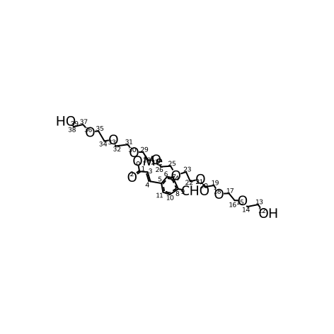 COC(=O)C=Cc1ccc(C=O)cc1.OCCOCCOCCOCCOCCOCCOCCOCCOCCO